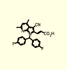 Cc1cc(C)c2c(C#N)c(C=CC(=O)O)n(C(c3ccc(F)cc3)c3ccc(F)cc3)c2n1